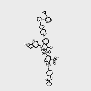 O=C(NS(=O)(=O)c1cnc(NCC2CCC(N=S3(=O)CCCC3)CC2)c([N+](=O)[O-])c1)c1ccc(N2CCC3(CC2)CC(N2CCC[C@@H]2c2ccccc2C2CC2)C3)cc1Oc1cnc2[nH]ccc2c1